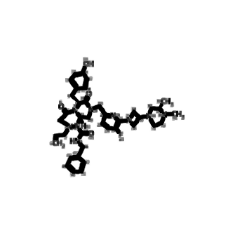 C=CCN1CC(=O)N2[C@@H](Cc3ccc(O)cc3)C(=O)N(Cc3ccc(F)c(N4CC(N5CCN(C)[C@H](C)C5)C4)n3)C[C@@H]2N1C(=O)NCc1ccccc1